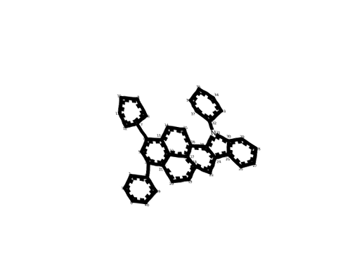 c1ccc(-c2cc(-c3ccccc3)c3ccc4c5c(ccc2c35)cc2c3ccccc3n(-c3ccccc3)c24)cc1